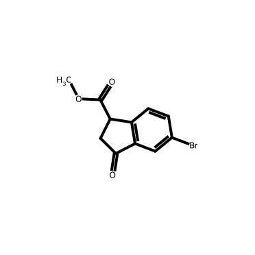 COC(=O)C1CC(=O)c2cc(Br)ccc21